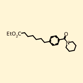 CCOC(=O)CCCCCCc1ccc(C(=O)N2CCCCC2)cc1